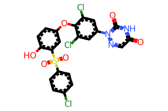 O=c1cnn(-c2cc(Cl)c(Oc3ccc(O)c(S(=O)(=O)c4ccc(Cl)cc4)c3)c(Cl)c2)c(=O)[nH]1